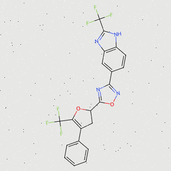 FC(F)(F)C1=C(c2ccccc2)CC(c2nc(-c3ccc4[nH]c(C(F)(F)F)nc4c3)no2)O1